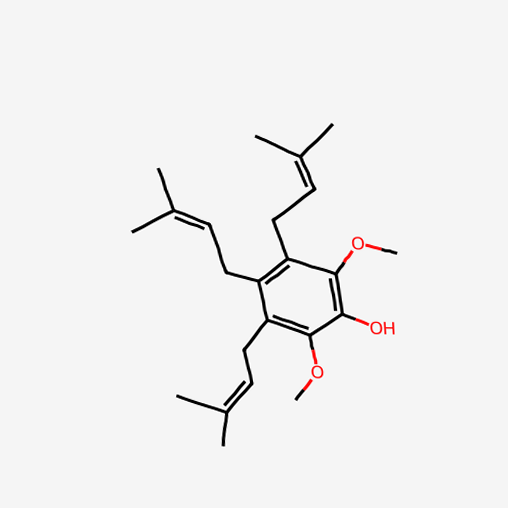 COc1c(O)c(OC)c(CC=C(C)C)c(CC=C(C)C)c1CC=C(C)C